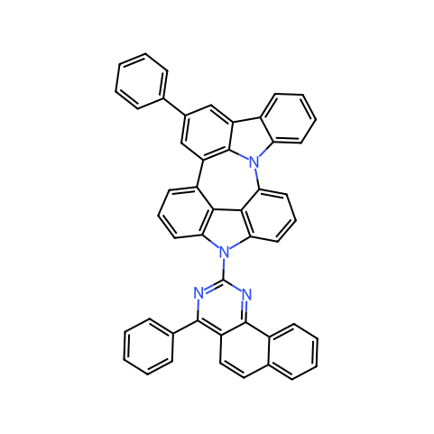 c1ccc(-c2cc3c4cccc5c4c4c(cccc4n4c6ccccc6c(c2)c34)n5-c2nc(-c3ccccc3)c3ccc4ccccc4c3n2)cc1